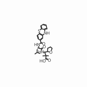 CC(C)C[C@H](NC(=O)c1ccc2c(c1)Nc1ccccc1S2)C(=O)N[C@H](C1CCCO1)C(C)(C)C(=O)O